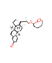 C[C@H](COC1CCCCO1)[C@H]1CC[C@H]2[C@@H]3C=CC4=CC(=O)C=C[C@]4(C)[C@H]3CC[C@]12C